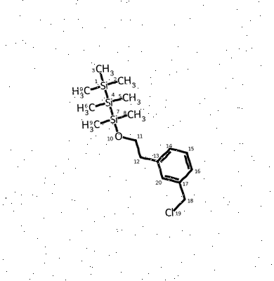 C[Si](C)(C)[Si](C)(C)[Si](C)(C)OCCc1cccc(CCl)c1